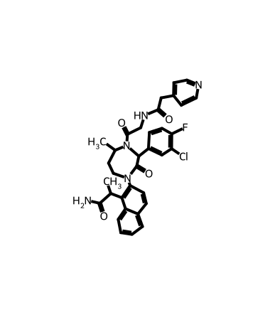 CC(C(N)=O)c1c(N2CCC(C)N(C(=O)CNC(=O)Cc3ccncc3)C(c3ccc(F)c(Cl)c3)C2=O)ccc2ccccc12